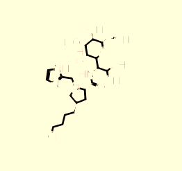 CCCCC[C@@H]1C[C@@H](C(=O)N[C@H](C(C)C)C2O[C@H](SC)[C@H](O)[C@@H](O)[C@H]2O)N(Cc2ncc[nH]2)C1